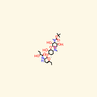 CCC1=CC[C@@H](NC(=O)[C@@H](O)CC)[C@@H](OC2[C@@H](C)C[C@@H](NC)[C@H](O[C@H]3OC[C@](C)(O)[C@H](N(C)C(=O)OC(C)(C)C)[C@H]3O)[C@H]2O)O1